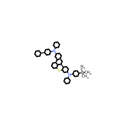 C[Si](C)(C)c1ccc(N(c2ccccc2)c2ccc3c(c2)Sc2cccc4c2c-3cc2ccc(N(c3ccccc3)c3ccc(-c5ccccc5)cc3)cc24)cc1